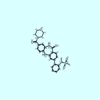 CN(c1ccccc1-c1ccc2c(c1)Nc1ccc(C(=O)N3CCOCC3)cc1NC2=O)S(C)(=O)=O